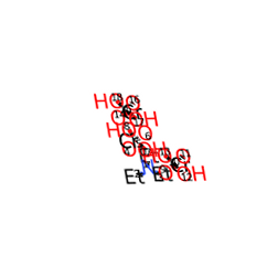 CCN(CC)CC.[O]=[Cr](=[O])([OH])[OH].[O]=[Cr](=[O])([OH])[OH].[O]=[Cr](=[O])([OH])[OH]